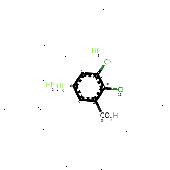 F.F.F.O=C(O)c1cccc(Cl)c1Cl